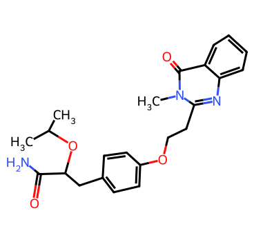 CC(C)OC(Cc1ccc(OCCc2nc3ccccc3c(=O)n2C)cc1)C(N)=O